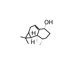 C[C@H]1CC[C@@H](O)C2=CC[C@H]3[C@H](C3(C)C)[C@@]21C